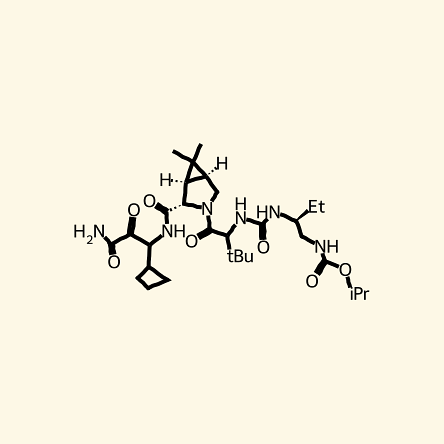 CC[C@@H](CNC(=O)OC(C)C)NC(=O)NC(C(=O)N1C[C@H]2[C@@H]([C@H]1C(=O)NC(C(=O)C(N)=O)C1CCC1)C2(C)C)C(C)(C)C